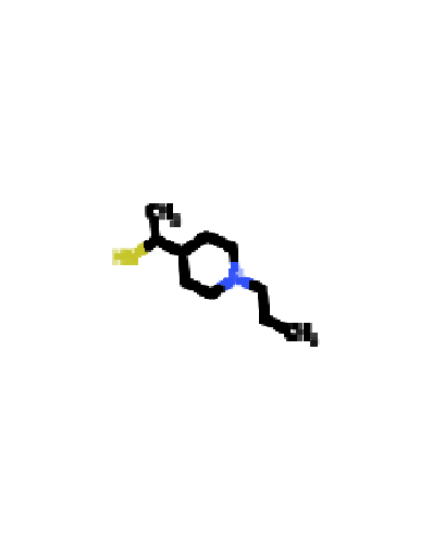 CCCN1CCC(C(C)S)CC1